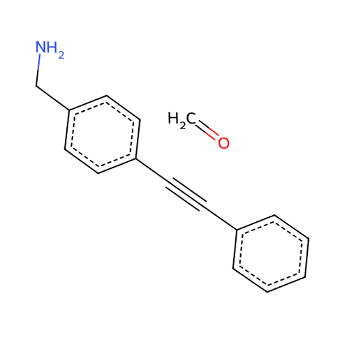 C=O.NCc1ccc(C#Cc2ccccc2)cc1